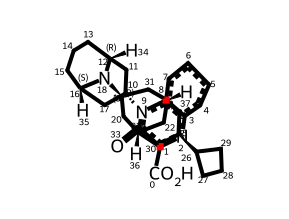 O=C(O)c1nc2ccccc2n([C@H]2C[C@H]3CCC[C@@H](C2)N3[C@@H]2C[C@@H]3C[C@@H](C[C@@H](C4CCC4)C3)C2)c1=O